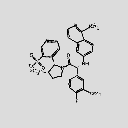 CCOC(=O)[C@H]1CCN(C(=O)[C@H](Nc2ccc3c(N)nccc3c2)c2ccc(F)c(OC)c2)[C@H]1c1ccccc1S(=O)(=O)CC